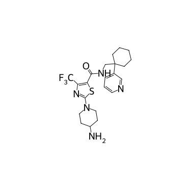 NC1CCN(c2nc(C(F)(F)F)c(C(=O)NCC3(c4cccnc4)CCCCC3)s2)CC1